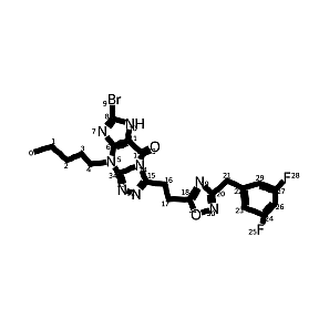 CCCCCn1c2nc(Br)[nH]c2c(=O)n2c(CCc3nc(Cc4cc(F)cc(F)c4)no3)nnc12